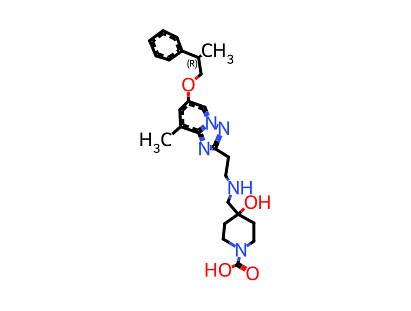 Cc1cc(OC[C@H](C)c2ccccc2)cn2nc(CCNCC3(O)CCN(C(=O)O)CC3)nc12